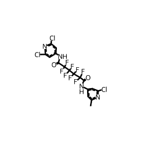 Cc1cc(NC(=O)C(F)(F)C(F)(F)C(F)(F)C(F)(F)C(=O)Nc2cc(Cl)nc(Cl)c2)cc(Cl)n1